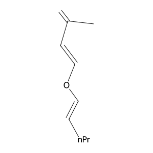 C=C(C)C=COC=CCCC